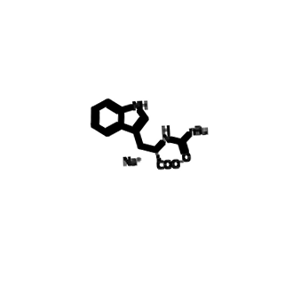 CCCCC(=O)N[C@@H](Cc1c[nH]c2ccccc12)C(=O)[O-].[Na+]